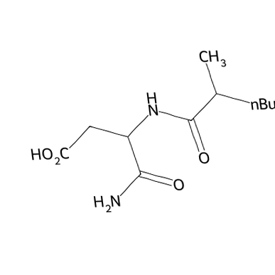 CCCCC(C)C(=O)NC(CC(=O)O)C(N)=O